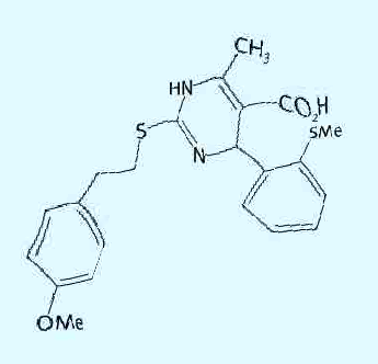 COc1ccc(CCSC2=NC(c3ccccc3SC)C(C(=O)O)=C(C)N2)cc1